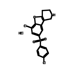 Cl.O=S(=O)(c1ccc(Cl)cc1)c1cc(Cl)c2oc3c(c2c1)CNCC3